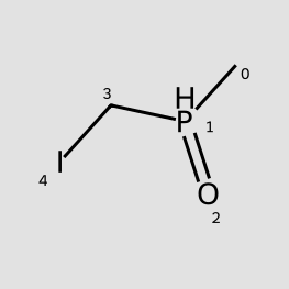 C[PH](=O)CI